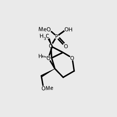 COC[C@@]12CCOC([C@H](C)O1)[C@@H]2OP(=O)(O)OC